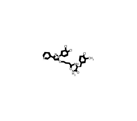 Cc1cc(C[C@H](NC(=O)CCCOc2cc(-c3cccnc3)nn2-c2ccc(Cl)c(Cl)c2)C(N)=O)ccc1Cl